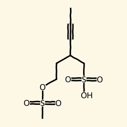 CC#CC(CCOS(C)(=O)=O)CS(=O)(=O)O